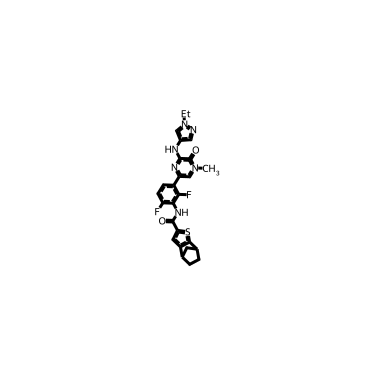 CCn1cc(Nc2nc(-c3ccc(F)c(NC(=O)c4cc5c(s4)C4CCC5C4)c3F)cn(C)c2=O)cn1